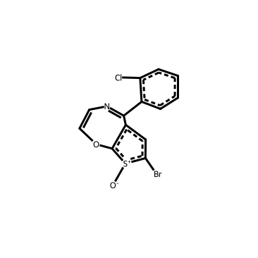 [O-][s+]1c(Br)cc2c1OC=CN=C2c1ccccc1Cl